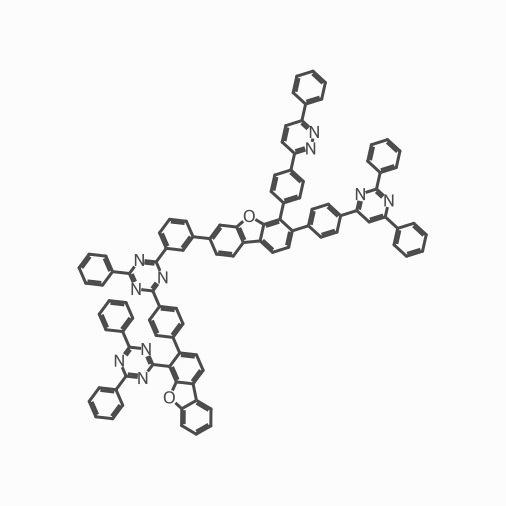 c1ccc(-c2ccc(-c3ccc(-c4c(-c5ccc(-c6cc(-c7ccccc7)nc(-c7ccccc7)n6)cc5)ccc5c4oc4cc(-c6cccc(-c7nc(-c8ccccc8)nc(-c8ccc(-c9ccc%10c(oc%11ccccc%11%10)c9-c9nc(-c%10ccccc%10)nc(-c%10ccccc%10)n9)cc8)n7)c6)ccc45)cc3)nn2)cc1